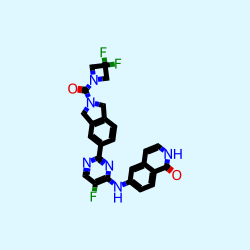 O=C(N1Cc2ccc(-c3ncc(F)c(Nc4ccc5c(=O)[nH]ccc5c4)n3)cc2C1)N1CC(F)(F)C1